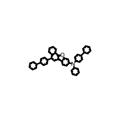 c1ccc(-c2ccc(-c3cc4c5ccc(N(c6ccccc6)c6ccc(-c7ccccc7)cc6)cc5oc4c4ccccc34)cc2)cc1